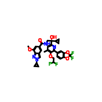 COc1cc(C(=O)NC[C@](O)(c2cc(C)c(OCC(F)F)c(-c3ccc4c(c3)OC(F)(F)O4)n2)C2CC2)cc2cn(C3CC3)nc12